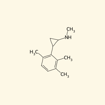 CNC1CC1c1c(C)ccc(C)c1C